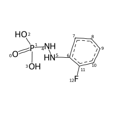 O=P(O)(O)NNc1ccccc1F